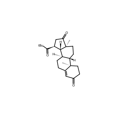 CC(C)(C)C(=O)[C@H]1CC(=O)[C@@]2(C)CC[C@H]3[C@@H](CCC4=CC(=O)CC[C@@]43C)[C@H]12